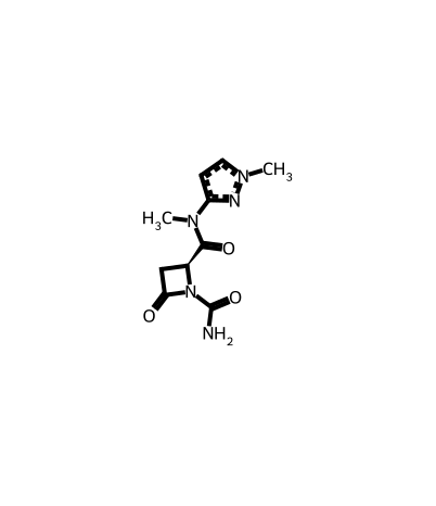 CN(C(=O)[C@@H]1CC(=O)N1C(N)=O)c1ccn(C)n1